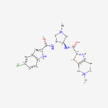 CC(=O)N1C[C@@H](NC(=O)c2cc3cc(Cl)ccc3[nH]2)[C@H](NC(=O)c2nc3c(s2)CN(C(C)C)CC3)C1